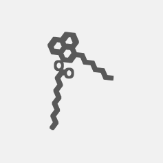 CCCCCCCCCC(=O)OC1C=C(CCCCCCC)c2cccc3cccc1c23